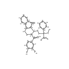 CCC(CCC1c2[nH]c3ccccc3c2CCN1C(=O)c1ccc(F)c(F)c1)(c1ccccc1)N(C)C